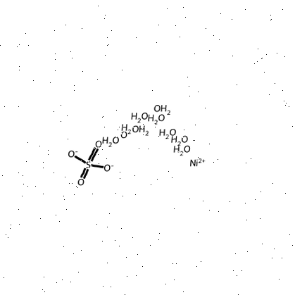 O.O.O.O.O.O.O.O.O.O=S(=O)([O-])[O-].[Ni+2]